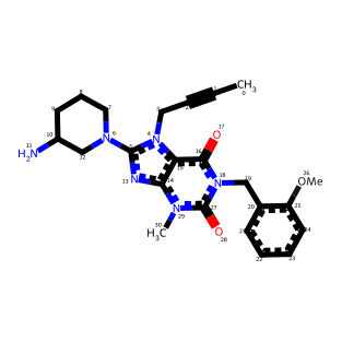 CC#CCn1c(N2CCCC(N)C2)nc2c1c(=O)n(Cc1ccccc1OC)c(=O)n2C